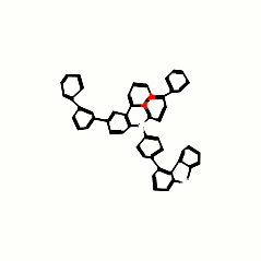 c1ccc(-c2ccc(N(c3ccc(-c4cccc5oc6ccccc6c45)cc3)c3ccc(-c4cccc(-c5ccccc5)c4)cc3-c3ccccc3)cc2)cc1